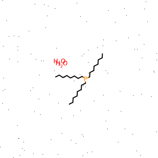 CCCCCCCCP(CCCCCCCC)CCCCCCCC.O.O